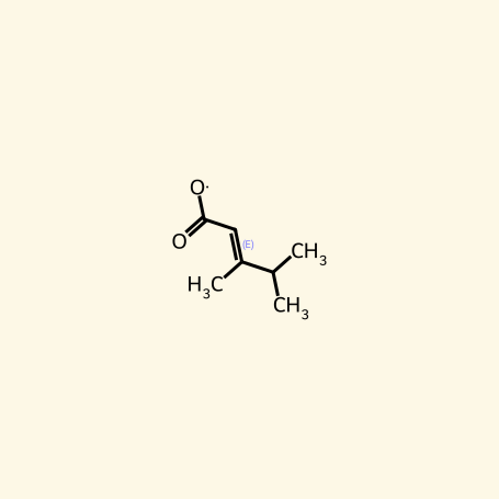 C/C(=C\C([O])=O)C(C)C